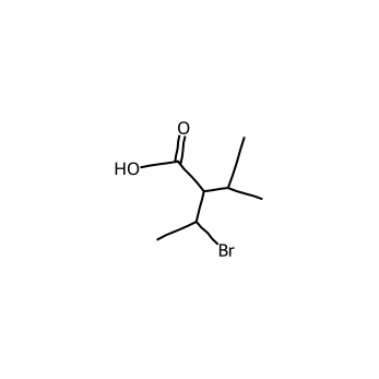 CC(C)C(C(=O)O)C(C)Br